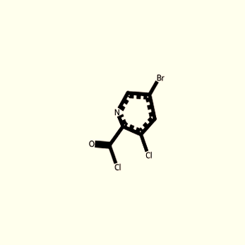 O=C(Cl)c1ncc(Br)cc1Cl